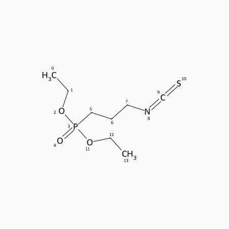 CCOP(=O)(CCCN=C=S)OCC